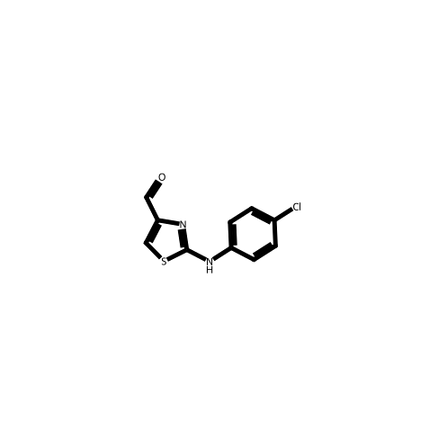 O=Cc1csc(Nc2ccc(Cl)cc2)n1